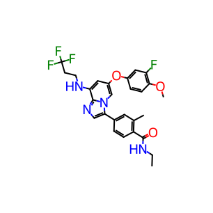 CCNC(=O)c1ccc(-c2cnc3c(NCCC(F)(F)F)cc(Oc4ccc(OC)c(F)c4)cn23)cc1C